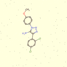 COc1ccc(-n2nnc(-c3ccc(Cl)cc3Cl)c2N)cc1